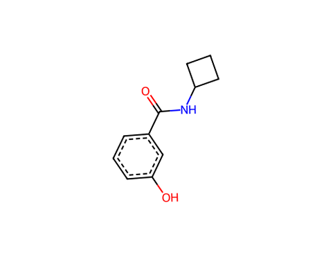 O=C(NC1CCC1)c1cccc(O)c1